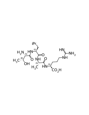 CC(C)C[C@H](NC(=O)[C@@H](N)[C@@H](C)O)C(=O)N[C@@H](C)C(=O)N[C@@H](CCCNC(=N)N)C(=O)O